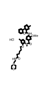 COc1cc(C(=O)N(C)c2ccc(C)cc2OCCCCCC(=O)NCCN2CCOCC2)ccc1NC(=O)c1cc(C)ccc1-c1ccccc1.Cl